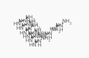 N=NNN.N=NNN.N=NNN.N=NNN.N=NNN.N=NNN.N=NNN.N=NNN